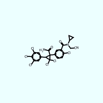 N#CCN(C(=O)c1cc(C2(C(N)=O)C(c3cc(Cl)c(Cl)c(Cl)c3)C2(Cl)Cl)ccc1Cl)C1CC1